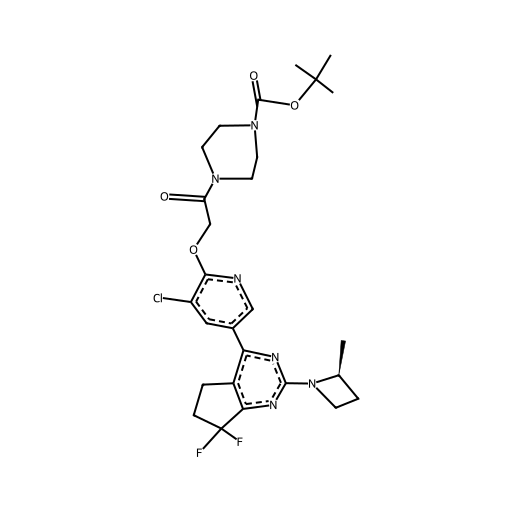 C[C@H]1CCN1c1nc(-c2cnc(OCC(=O)N3CCN(C(=O)OC(C)(C)C)CC3)c(Cl)c2)c2c(n1)C(F)(F)CC2